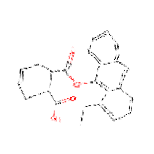 CCc1cccc2cc3ccccc3c(OC(=O)C3CC=CCC3C(=O)O)c12